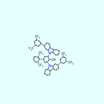 N#Cc1c(-n2c3ccccc3c3ccc(-c4cc(C(F)(F)F)cc(C(F)(F)F)c4)cc32)cc(-c2c(C(F)(F)F)cccc2C(F)(F)F)cc1-n1c2ccccc2c2ccc(-c3cc(C(F)(F)F)cc(C(F)(F)F)c3)cc21